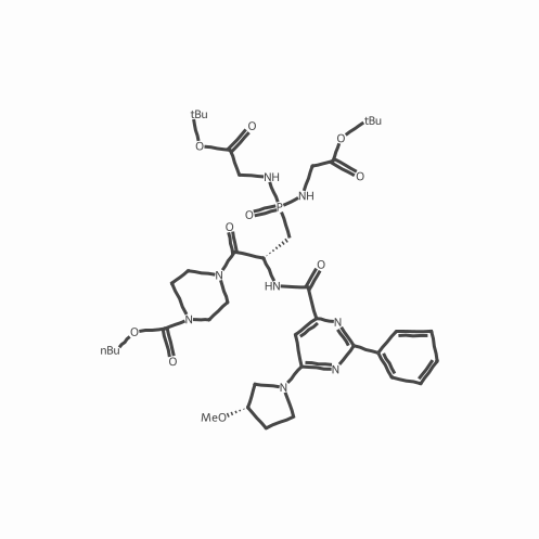 CCCCOC(=O)N1CCN(C(=O)[C@H](CP(=O)(NCC(=O)OC(C)(C)C)NCC(=O)OC(C)(C)C)NC(=O)c2cc(N3CC[C@H](OC)C3)nc(-c3ccccc3)n2)CC1